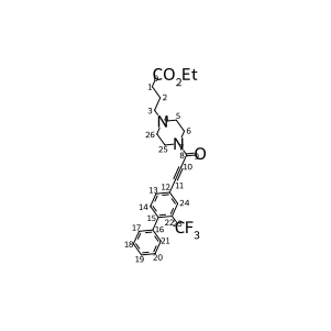 CCOC(=O)CCCN1CCN(C(=O)C#Cc2ccc(-c3ccccc3)c(C(F)(F)F)c2)CC1